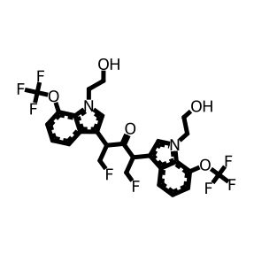 O=C(C(CF)c1cn(CCO)c2c(OC(F)(F)F)cccc12)C(CF)c1cn(CCO)c2c(OC(F)(F)F)cccc12